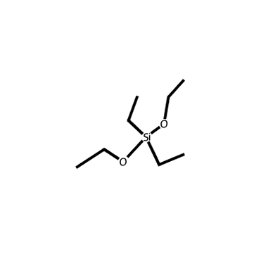 CCO[Si](CC)(CC)OCC